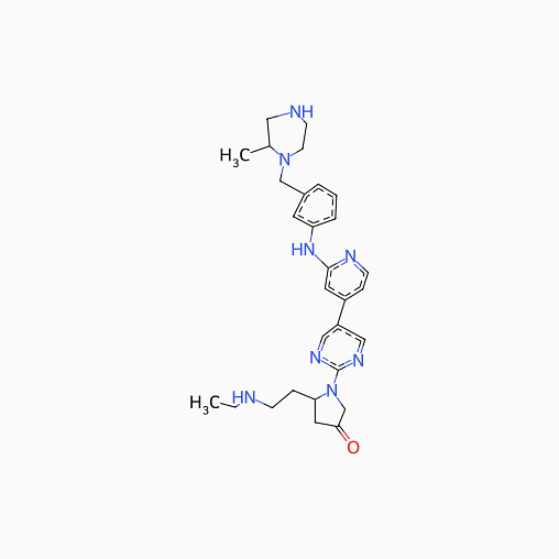 CCNCCC1CC(=O)CN1c1ncc(-c2ccnc(Nc3cccc(CN4CCNCC4C)c3)c2)cn1